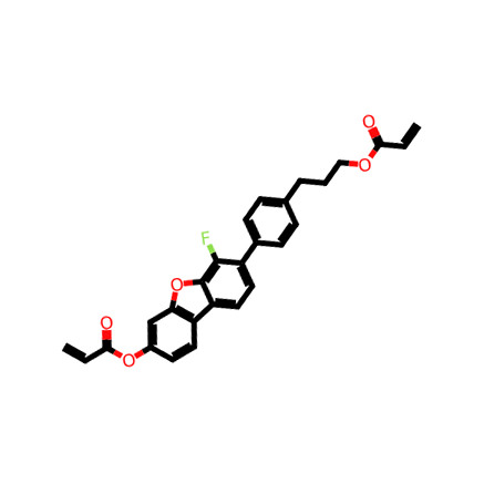 C=CC(=O)OCCCc1ccc(-c2ccc3c(oc4cc(OC(=O)C=C)ccc43)c2F)cc1